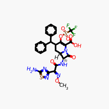 CON=C(C(=O)N[C@@H]1C(=O)N2C(C(=O)O)=C(OS(=O)(=O)C(F)(F)F)C(C(c3ccccc3)c3ccccc3)C[C@H]12)c1nsc(N)n1